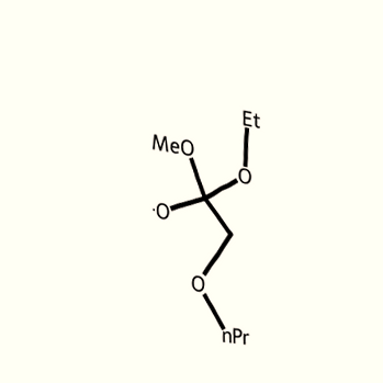 CCCOCC([O])(OC)OCC